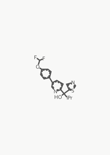 CC(C)C(O)(c1ccc(-c2ccc(OC(F)F)cc2)cn1)c1cncs1